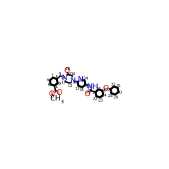 COC(=O)c1cccc(CN2CCN(c3ccc(NC(=O)c4cccc(Oc5ccccc5)c4)cn3)CC2=O)c1